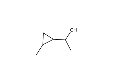 CC(O)C1CC1C